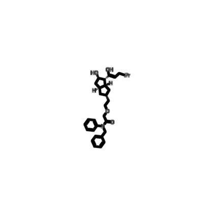 CC(C)CC=C(O)[C@@H]1[C@@H]2C[C@@H](CCOCC(=O)N(Cc3ccccc3)c3ccccc3)C[C@H]2C[C@H]1O